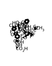 C#CC(C)Oc1cc(N2C(=O)C3=C(CCCC3)C2=O)c(F)cc1Cl.C[S+](C)C.O=C(Nc1nc(OC(F)F)cc(OC(F)F)n1)NS(=O)(=O)c1ccccc1C(=O)O.O=C(O)CNCP(=O)([O-])O